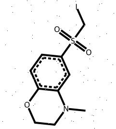 CN1CCOc2ccc(S(=O)(=O)CI)cc21